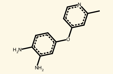 Cc1cc(Oc2ccc(N)c(N)c2)ccn1